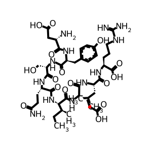 CC[C@H](C)[C@H](NC(=O)[C@H](CCC(N)=O)NC(=O)[C@H](CO)NC(=O)[C@H](Cc1ccc(O)cc1)NC(=O)[C@@H](N)CC(=O)O)C(=O)N[C@@H](CCC(=O)O)C(=O)N[C@@H](CC(C)C)C(=O)N[C@@H](CCCNC(=N)N)C(=O)O